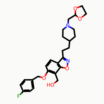 OCc1c(OCc2ccc(F)cc2)ccc2c(CCC3CCN(CC4OCCO4)CC3)noc12